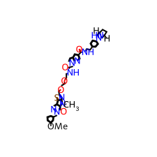 COc1cccc(Cn2ncc3c4sc(COCCOCCNC(=O)Cn5ccc6cc(C(=O)NCCc7ccc(N8C[C@H]9CC[C@@H](C8)N9)cc7)cnc65)nc4n(C)c3c2=O)c1